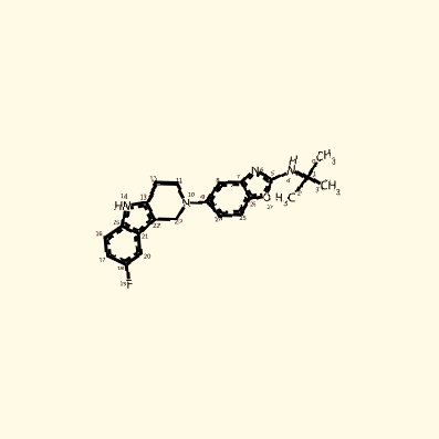 CC(C)(C)Nc1nc2cc(N3CCc4[nH]c5ccc(F)cc5c4C3)ccc2o1